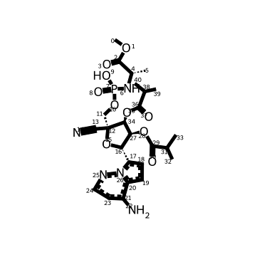 COC(=O)[C@H](C)NP(=O)(O)OC[C@@]1(C#N)O[C@@H](c2ccc3c(N)ccnn23)[C@H](OC(=O)C(C)C)[C@@H]1OC(=O)C(C)C